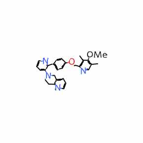 COc1c(C)cnc(COc2ccc(-c3ncccc3N3CCc4ncccc4C3)cc2)c1C